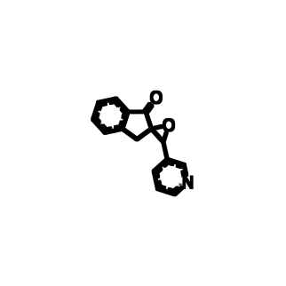 O=C1c2ccccc2CC12OC2c1cccnc1